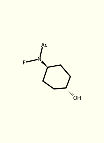 CC(=O)N(F)[C@H]1CC[C@H](O)CC1